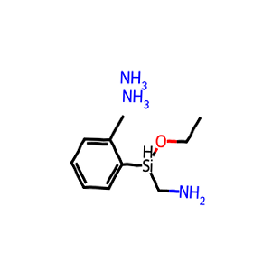 CCO[SiH](CN)c1ccccc1C.N.N